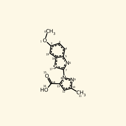 COc1ccc2nc(-n3nc(C)cc3C(=O)O)sc2c1